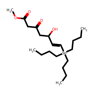 CCC[CH2][Sn]([CH]=CC(O)CC(=O)CC(=O)OC)([CH2]CCC)[CH2]CCC